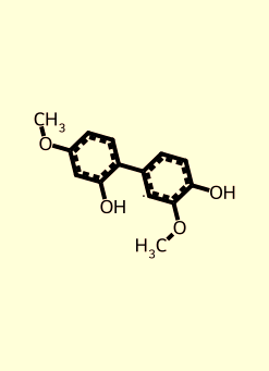 COc1ccc(-c2[c]c(OC)c(O)cc2)c(O)c1